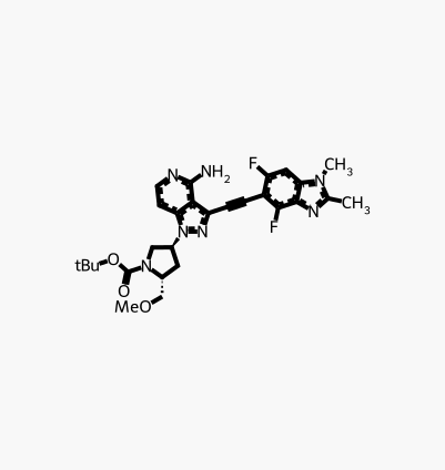 COC[C@H]1C[C@H](n2nc(C#Cc3c(F)cc4c(nc(C)n4C)c3F)c3c(N)nccc32)CN1C(=O)OC(C)(C)C